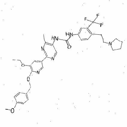 CCOc1cc(-c2ncc(NC(=O)Nc3ccc(CCN4CCCC4)c(C(F)(F)F)c3)c(C)n2)cnc1OCc1ccc(OC)cc1